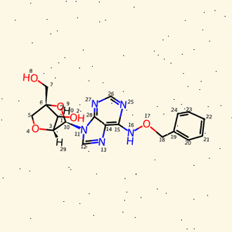 [2H][C@]1(O)[C@H]2OC[C@]1(CO)O[C@H]2n1cnc2c(NOCc3ccccc3)ncnc21